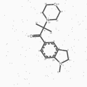 CN1CCc2cc(C(=O)C(C)(C)N3CCOCC3)ccc21